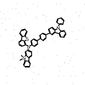 C[Si]1(C)c2ccccc2-c2ccc(N(c3ccc(-c4ccc(-c5ccc6c(c5)c5ccccc5n6-c5ccccc5)cc4)cc3)c3cccc4c3sc3ccccc34)cc21